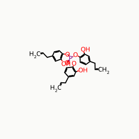 C=CCc1ccc(OP(=O)(Oc2ccc(CC=C)cc2O)Oc2ccc(CC=C)cc2O)c(O)c1